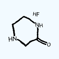 F.O=C1CNCCN1